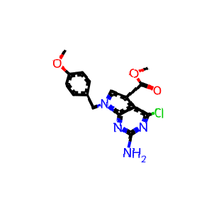 COC(=O)c1cn(Cc2ccc(OC)cc2)c2nc(N)nc(Cl)c12